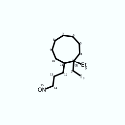 CC[C@]1(CI)CCCCCCCC1CCCN=O